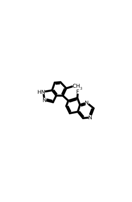 Cc1ccc2[nH]ncc2c1-c1ccc2cncnc2c1F